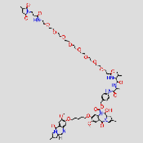 COc1cc2c(cc1OCCCCCOc1cc3c(cc1OC)C(=O)N1C=C(C)CC1[C@H](O)N3C(=O)OCc1ccc(NC(=O)[C@H](C)NC(=O)[C@@H](NC(=O)CCOCCOCCOCCOCCOCCOCCOCCOCCNC(=O)CCN3C(=O)CC(C)C3=O)C(C)C)cc1)N=C[C@@H]1CC(C)=CN1C2=O